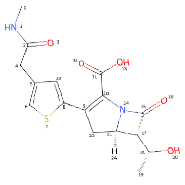 CNC(=O)Cc1csc(C2=C(C(=O)O)N3C(=O)[C@H]([C@@H](C)O)[C@H]3C2)c1